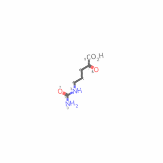 NC(=O)NCCCC(=O)C(=O)O